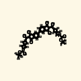 CC(C)(C)OC(=O)N1CC2(CC(C(=O)C3C(=O)c4ccc(-c5ccc6c(c5)C(=O)C(C(=O)C5CC7(C5)CN(C(=O)OC(C)(C)C)C7)C6=O)cc4C3=O)C2)C1